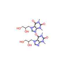 Cn1c(=O)c2c(ncn2CC(O)CO)n(C)c1=O.Cn1c(=O)c2c(ncn2CC(O)CO)n(C)c1=O